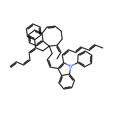 C=C/C=C\C=C(/CC1(C/C=C\c2c(\C=C/C=C/C=C/C)n(-c3ccccc3)c3ccccc23)/C(=C\C)CC/C=C\c2ccccc21)c1ccccc1